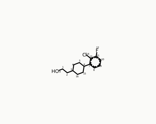 OCCC1CCC(c2cccc(F)c2Cl)CC1